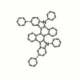 c1ccc(-c2ccc3c(c2)c2c4c5ccccc5c5c6cc(-c7ccccc7)ccc6n(-c6ccccc6)c5c4c4ccccc4c2n3-c2ccccc2)cc1